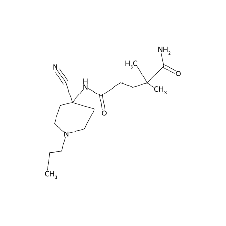 CCCN1CCC(C#N)(NC(=O)[CH]CC(C)(C)C(N)=O)CC1